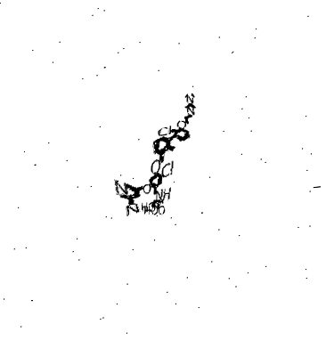 Cc1c(COc2cc(OCc3cncc(C#N)c3)c(CNC(C)(CO)C(=O)O)cc2Cl)cccc1-c1cccc(OCCCN2CC(N(C)C)C2)c1Cl